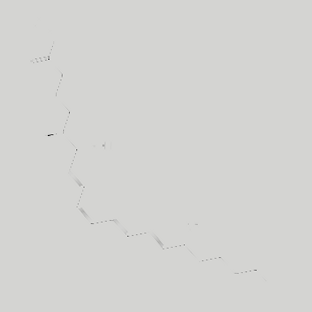 CCCCC[C@@H](O)/C=C/C=C/C=C\C=C\[C@@H](O)[C@@H](O)CCCC(=O)OC